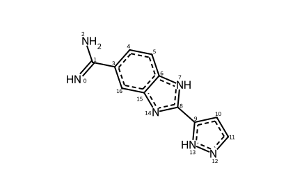 N=C(N)c1ccc2[nH]c(-c3ccn[nH]3)nc2c1